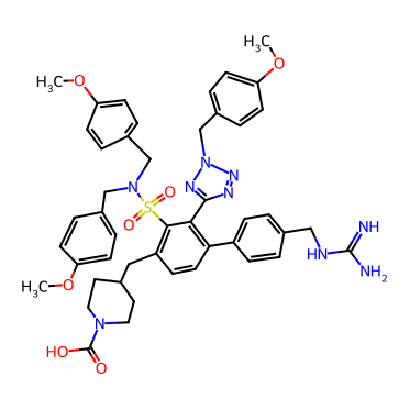 COc1ccc(CN(Cc2ccc(OC)cc2)S(=O)(=O)c2c(CC3CCN(C(=O)O)CC3)ccc(-c3ccc(CNC(=N)N)cc3)c2-c2nnn(Cc3ccc(OC)cc3)n2)cc1